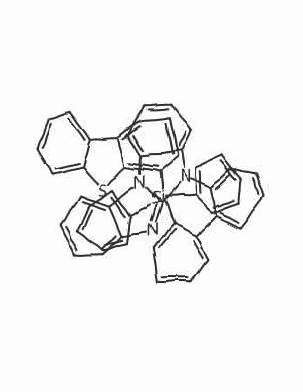 c1ccc([Si](c2ccccc2)(c2ccccc2-c2ccccc2-n2c3ccccc3n3c4ccccc4nc23)c2cccc3c2sc2ccccc23)cc1